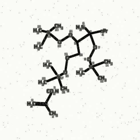 C=C(C)C(=O)O.CCCC([SiH3])(OO[Si](C)(C)C)C(COO[Si](C)(C)C)OO[Si](C)(C)C